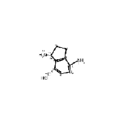 Cl.Cl.Nc1nccc2c1CC[C@H]2N